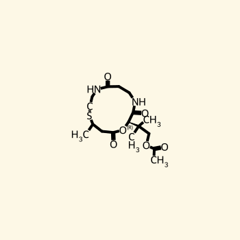 CC(=O)OCC(C)(C)[C@H]1OC(=O)CC(C)SCCNC(=O)CCNC1=O